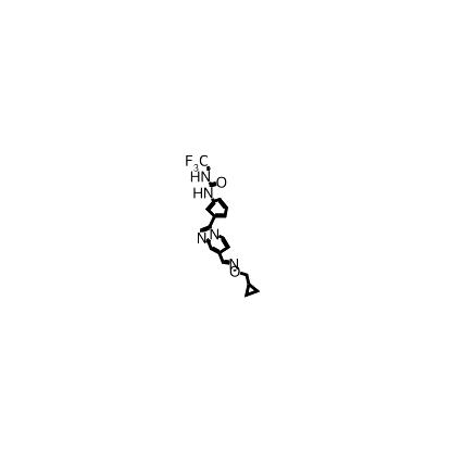 O=C(NCC(F)(F)F)Nc1cccc(-c2cnc3cc(/C=N/OCC4CC4)ccn23)c1